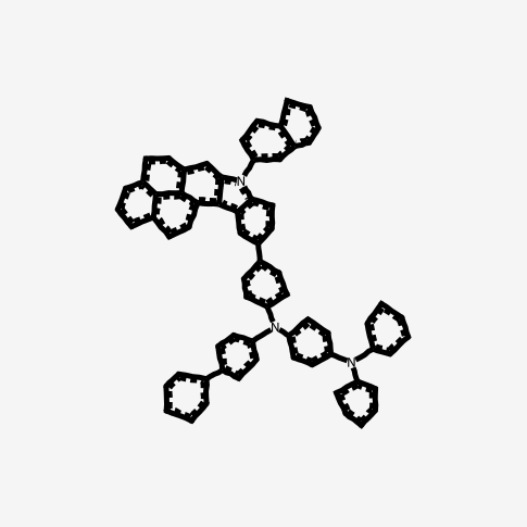 c1ccc(-c2ccc(N(c3ccc(-c4ccc5c(c4)c4c6ccc7cccc8ccc(cc4n5-c4ccc5ccccc5c4)c6c87)cc3)c3ccc(N(c4ccccc4)c4ccccc4)cc3)cc2)cc1